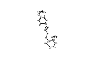 CCCCCCOc1ccc(OCCCC2CCCCC2CCC)cc1